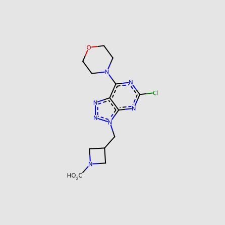 O=C(O)N1CC(Cn2nnc3c(N4CCOCC4)nc(Cl)nc32)C1